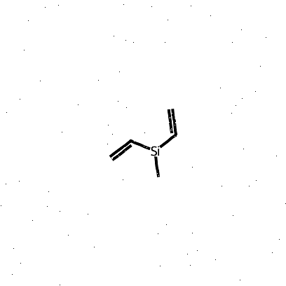 C=C[Si](C)C=C